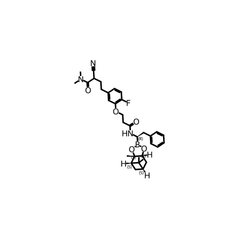 CN(C)C(=O)C(C#N)CCc1ccc(F)c(OCCC(=O)N[C@@H](Cc2ccccc2)B2O[C@@H]3C[C@@H]4C[C@@H](C4(C)C)[C@]3(C)O2)c1